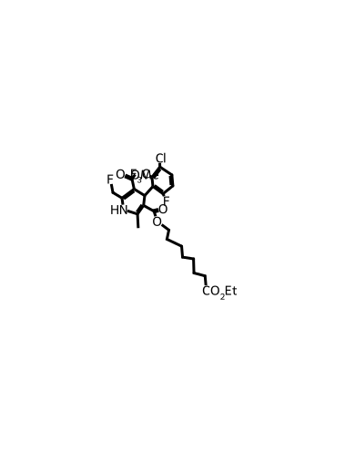 CCOC(=O)CCCCCCCOC(=O)C1=C(C)NC(CF)=C(C(=O)OC)C1c1c(F)ccc(Cl)c1C(F)(F)F